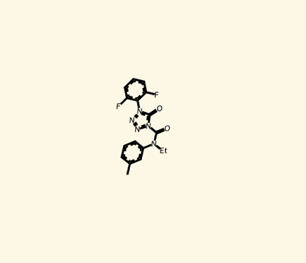 CCN(C(=O)n1nnn(-c2c(F)cccc2F)c1=O)c1cccc(C)c1